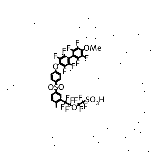 COc1c(F)c(F)c(-c2c(F)c(F)c(Oc3ccc(S(=O)(=O)c4ccc(C)c(C(F)(F)C(F)(F)OC(F)(F)C(F)(F)S(=O)(=O)O)c4)cc3)c(F)c2F)c(F)c1F